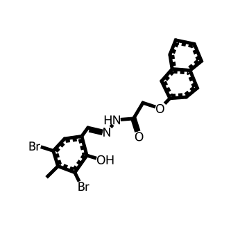 Cc1c(Br)cc(/C=N/NC(=O)COc2ccc3ccccc3c2)c(O)c1Br